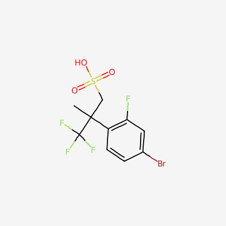 CC(CS(=O)(=O)O)(c1ccc(Br)cc1F)C(F)(F)F